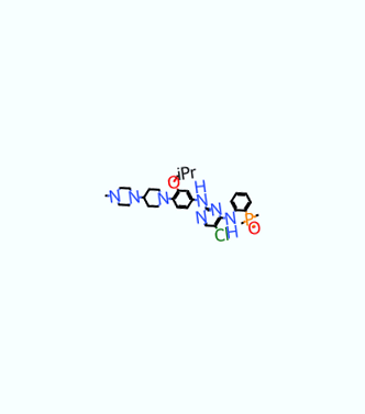 CC(C)Oc1cc(Nc2ncc(Cl)c(Nc3ccccc3P(C)(C)=O)n2)ccc1N1CCC(N2CCN(C)CC2)CC1